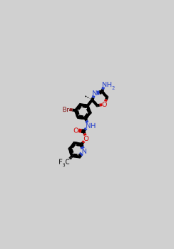 C[C@@]1(c2cc(Br)cc(NC(=O)Oc3ccc(C(F)(F)F)cn3)c2)COCC(N)=N1